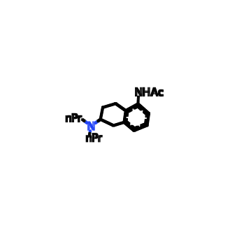 CCCN(CCC)C1CCc2c(cccc2NC(C)=O)C1